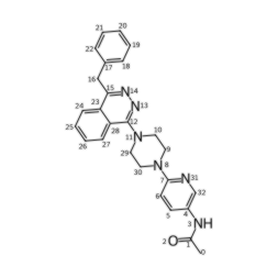 CC(=O)Nc1ccc(N2CCN(c3nnc(Cc4ccccc4)c4ccccc34)CC2)nc1